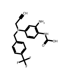 C#CCN(Cc1ccc(C(F)(F)F)cc1)c1ccc(NC(=O)O)c(N)c1